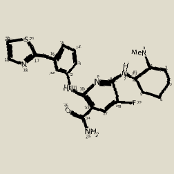 CNC1CCCC[C@H]1Nc1nc(Nc2cccc(-c3nccs3)c2)c(C(N)=O)cc1F